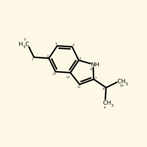 CCc1ccc2[nH]c(C(C)C)cc2c1